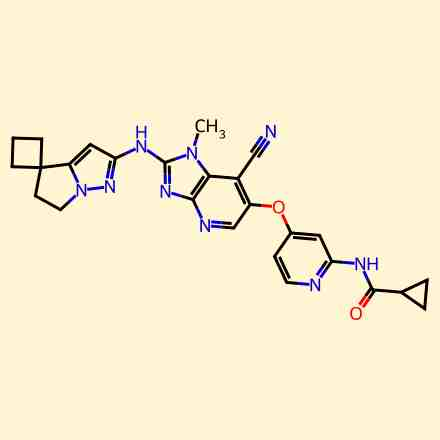 Cn1c(Nc2cc3n(n2)CCC32CCC2)nc2ncc(Oc3ccnc(NC(=O)C4CC4)c3)c(C#N)c21